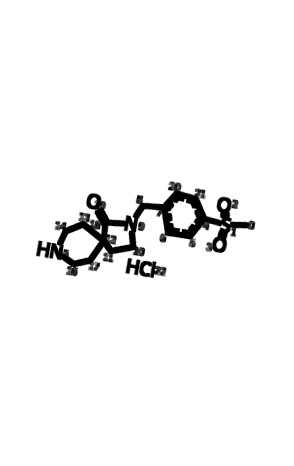 CS(=O)(=O)c1ccc(CN2CCC3(CCNCC3)C2=O)cc1.Cl